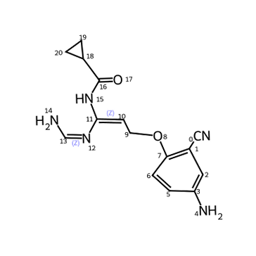 N#Cc1cc(N)ccc1OC/C=C(\N=C/N)NC(=O)C1CC1